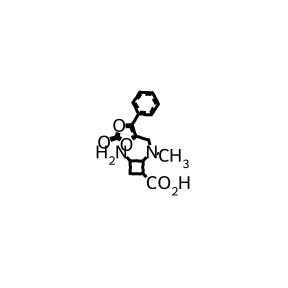 CN(Cc1oc(=O)oc1-c1ccccc1)C1C(N)CC1C(=O)O